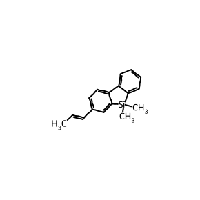 C/C=C/c1ccc2c(c1)[Si](C)(C)c1ccccc1-2